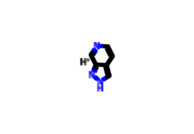 [H+].c1cc2c[nH]nc2cn1